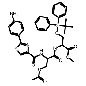 COC(=O)C(CO[Si](c1ccccc1)(c1ccccc1)C(C)(C)C)NC(=O)C(COC(C)=O)NC(=O)c1csc(-c2ccc(N)cc2)n1